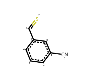 N#Cc1cccc([C]=S)c1